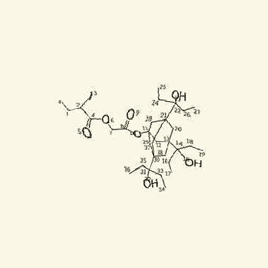 CCC(I)C(=O)OCC(=O)OC12CC3(C(O)(CC)CC)CC(C(O)(CC)CC)(C1)CC(C(O)(CC)CC)(C2)C3